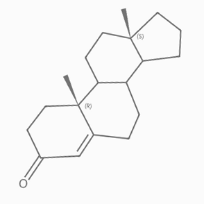 C[C@@]12CCCC1C1CCC3=CC(=O)CC[C@]3(C)C1CC2